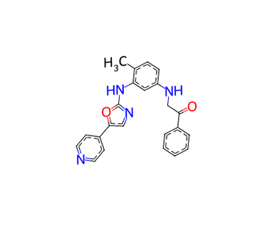 Cc1ccc(NCC(=O)c2ccccc2)cc1Nc1ncc(-c2ccncc2)o1